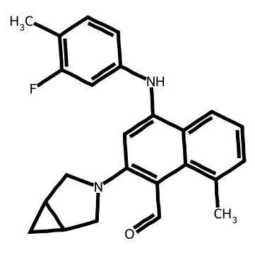 Cc1ccc(Nc2cc(N3CC4CC4C3)c(C=O)c3c(C)cccc23)cc1F